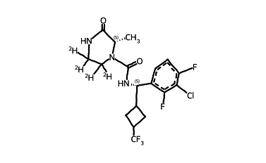 [2H]C1([2H])NC(=O)[C@H](C)N(C(=O)N[C@H](c2ccc(F)c(Cl)c2F)C2CC(C(F)(F)F)C2)C1([2H])[2H]